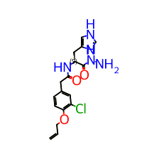 C=CCOc1ccc(CC(=O)N[C@@H](Cc2c[nH]cn2)C(=O)NN)cc1Cl